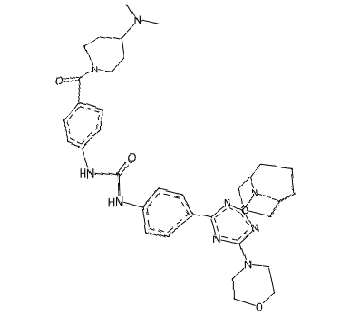 CN(C)C1CCN(C(=O)c2ccc(NC(=O)Nc3ccc(-c4nc(N5CCOCC5)nc(N5C6CCCC5COC6)n4)cc3)cc2)CC1